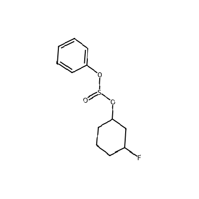 O=S(Oc1ccccc1)OC1CCCC(F)C1